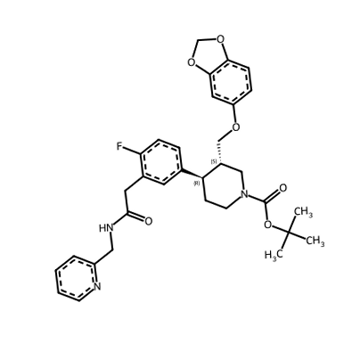 CC(C)(C)OC(=O)N1CC[C@@H](c2ccc(F)c(CC(=O)NCc3ccccn3)c2)[C@H](COc2ccc3c(c2)OCO3)C1